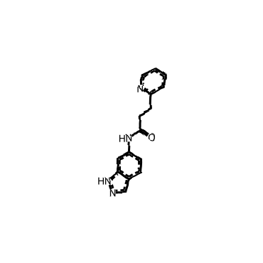 O=C(CCc1ccccn1)Nc1ccc2cn[nH]c2c1